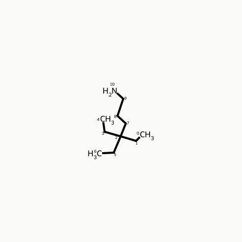 CCC(CC)(CC)CCCN